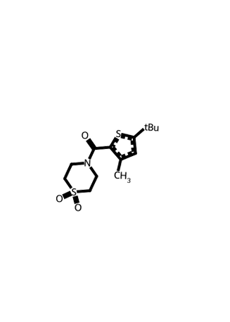 Cc1cc(C(C)(C)C)sc1C(=O)N1CCS(=O)(=O)CC1